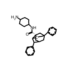 NC1CCC(NC(=O)[C@]23CC4CC(c5ccccc5)(CC2C4c2ccccc2)C3)CC1